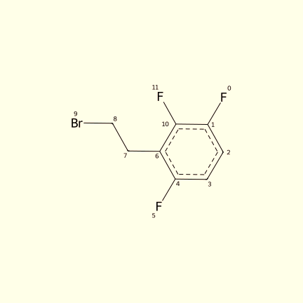 Fc1ccc(F)c(CCBr)c1F